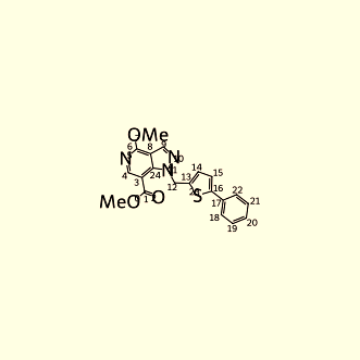 COC(=O)c1cnc(OC)c2cnn(Cc3ccc(-c4ccccc4)s3)c12